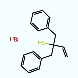 Br.C=CC(S)(Cc1ccccc1)Cc1ccccc1